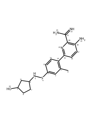 Cc1cc(SNC2CCC(O)C2)ccc1-c1ccc(N)c(C(=N)N)n1